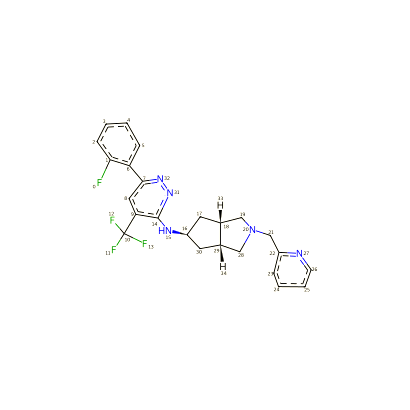 Fc1ccccc1-c1cc(C(F)(F)F)c(N[C@H]2C[C@@H]3CN(Cc4ccccn4)C[C@@H]3C2)nn1